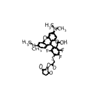 CN(C)c1ccc2c(-c3c(F)c(SCC(=O)ON4C(=O)CCC4=O)c(F)c(F)c3C(=O)O)c3ccc(=[N+](C)C)cc-3oc2c1